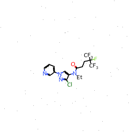 CCN(C(=O)CCC(F)(C(F)(F)F)C(F)(F)F)c1cn(-c2cccnc2)nc1Cl